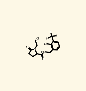 O=C(NCc1cccc(C(F)(F)F)c1Cl)C1CCC(=O)N1CCCl